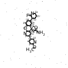 COc1ccc(-c2cnc3c(c2)[C@]2(COC(N)=N2)c2cc(-c4cccnc4F)ccc2O3)cn1